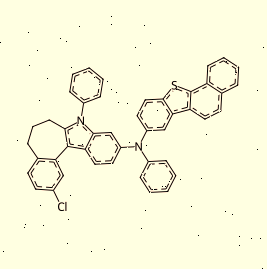 Clc1ccc2c(c1)-c1c(n(-c3ccccc3)c3cc(N(c4ccccc4)c4ccc5sc6c7ccccc7ccc6c5c4)ccc13)CCC2